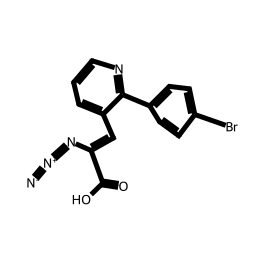 [N-]=[N+]=N/C(=C\c1cccnc1-c1ccc(Br)cc1)C(=O)O